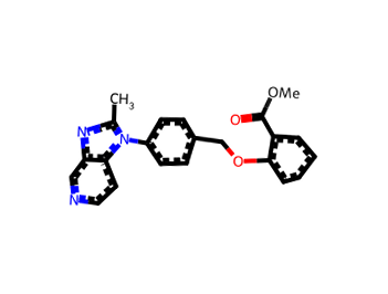 COC(=O)c1ccccc1OCc1ccc(-n2c(C)nc3cnccc32)cc1